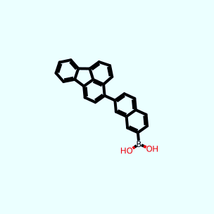 OB(O)c1ccc2ccc(-c3ccc4c5c(cccc35)-c3ccccc3-4)cc2c1